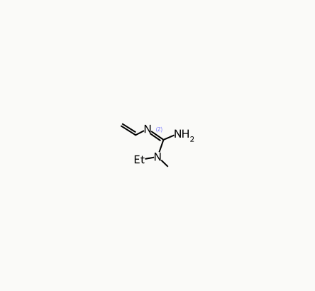 C=C/N=C(/N)N(C)CC